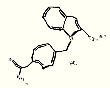 CCOC(=O)c1cc2ccccc2n1Cc1ccc(C(=N)N)cc1.Cl